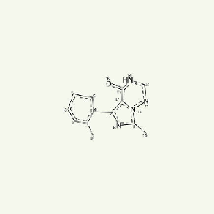 Cc1ccccc1-c1nc(C)n2nc[nH]c(=O)c12